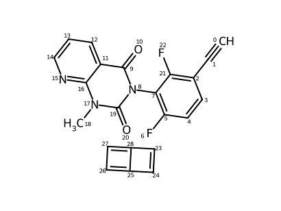 C#Cc1ccc(F)c(-n2c(=O)c3cccnc3n(C)c2=O)c1F.c1cc2ccc1-2